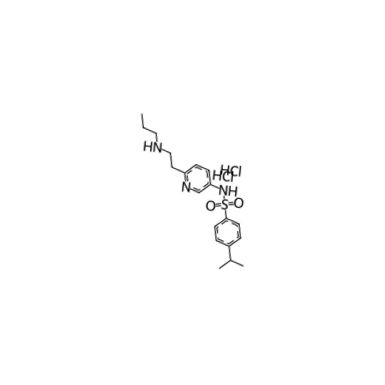 CCCNCCc1ccc(NS(=O)(=O)c2ccc(C(C)C)cc2)cn1.Cl.Cl